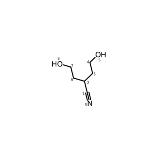 N#CC(CCO)CCO